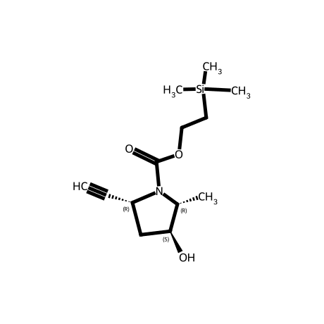 C#C[C@H]1C[C@H](O)[C@@H](C)N1C(=O)OCC[Si](C)(C)C